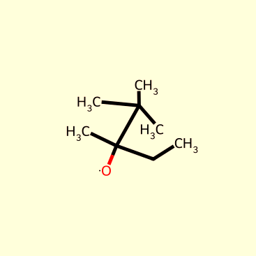 CCC(C)([O])C(C)(C)C